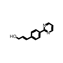 OCC=Cc1ccc(-c2ncccn2)cc1